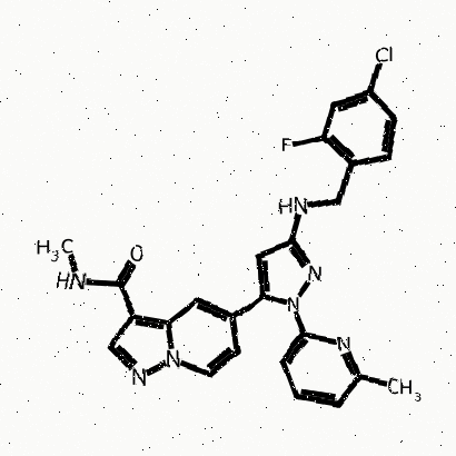 CNC(=O)c1cnn2ccc(-c3cc(NCc4ccc(Cl)cc4F)nn3-c3cccc(C)n3)cc12